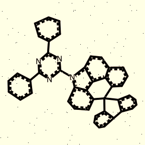 c1ccc(-c2nc(-c3ccccc3)nc(-n3c4cccc5c4c4c6c(cccc6ccc43)C53c4ccccc4-c4ccccc43)n2)cc1